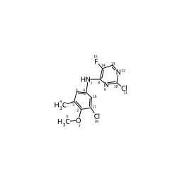 COc1c(C)cc(Nc2nc(Cl)ncc2F)cc1Cl